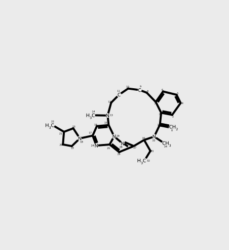 C=C1c2ccccc2CCCCCN(C)c2cc(N3CCC(C)C3)nc3cc(nn23)C(CC)N1C